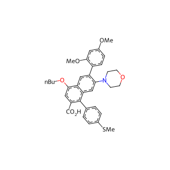 CCCCOc1cc(C(=O)O)c(-c2ccc(SC)cc2)c2cc(N3CCOCC3)c(-c3ccc(OC)cc3OC)cc12